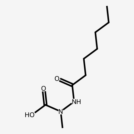 CCCCCCC(=O)NN(C)C(=O)O